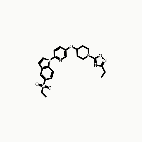 CCc1noc(N2CCC(Oc3ccc(-n4ccc5cc(S(=O)(=O)CC)ccc54)nc3)CC2)n1